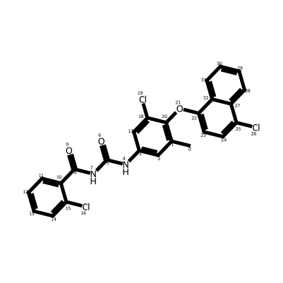 Cc1cc(NC(=O)NC(=O)c2ccccc2Cl)cc(Cl)c1Oc1ccc(Cl)c2ccccc12